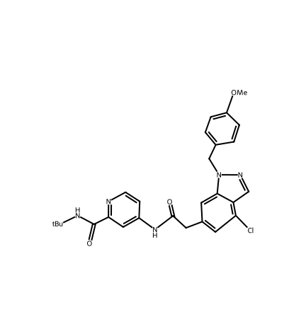 COc1ccc(Cn2ncc3c(Cl)cc(CC(=O)Nc4ccnc(C(=O)NC(C)(C)C)c4)cc32)cc1